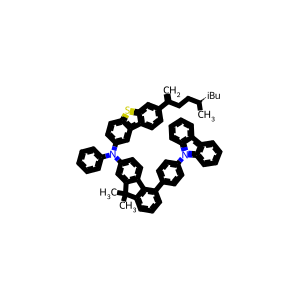 C=C(CCC(C)[C@@H](C)CC)c1ccc2c(c1)sc1ccc(N(c3ccccc3)c3ccc4c(c3)C(C)(C)c3cccc(-c5ccc(-n6c7ccccc7c7ccccc76)cc5)c3-4)cc12